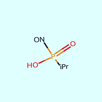 CC(C)P(=O)(O)N=O